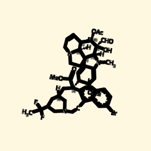 CC[C@]12C=CCN3CC[C@@]4(C5=CC([C@@]6(C(=O)OC)C[C@H]7CC(C(C)(F)F)CN(CCc8c6[nH]c6ccc(Br)cc86)C7)C(OC)C=C5N(C)[C@H]4[C@@](O)(C=O)[C@@H]1OC(C)=O)[C@@H]32